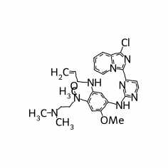 C=CC(=O)Nc1cc(Nc2nccc(-c3nc(Cl)c4ccccn34)n2)c(OC)cc1N(C)CCN(C)C